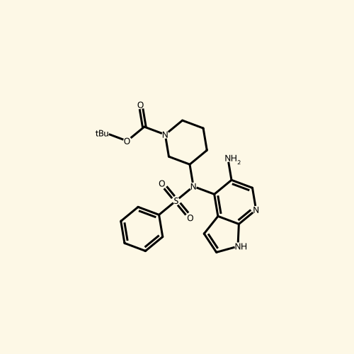 CC(C)(C)OC(=O)N1CCCC(N(c2c(N)cnc3[nH]ccc23)S(=O)(=O)c2ccccc2)C1